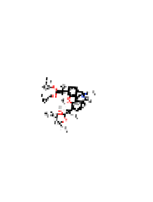 C[SiH2]OC(O[SiH2]C)C(C)(C)c1ccc2c3c1OC1C(C(C)(C)C(O[SiH2]C)O[SiH2]C)C=C[C@H]4[C@@H](C2)N(C)CC[C@]314